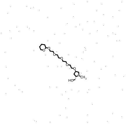 CN1C[C@H](OCCOCCOCCOCCOC2CCCCO2)C[C@H]1CO